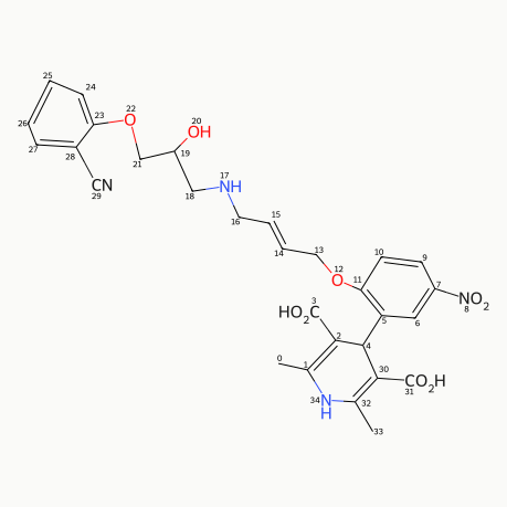 CC1=C(C(=O)O)C(c2cc([N+](=O)[O-])ccc2OCC=CCNCC(O)COc2ccccc2C#N)C(C(=O)O)=C(C)N1